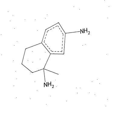 CC1(N)CCCc2ccc(N)cc21